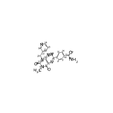 Cn1c(=O)c2nc(-c3ccc(C(N)=O)cc3)nnc2n(Cc2cccnc2)c1=O